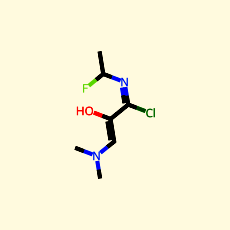 CC(F)/N=C(Cl)\C(O)=C\N(C)C